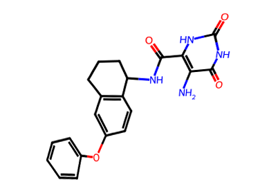 Nc1c(C(=O)NC2CCCc3cc(Oc4ccccc4)ccc32)[nH]c(=O)[nH]c1=O